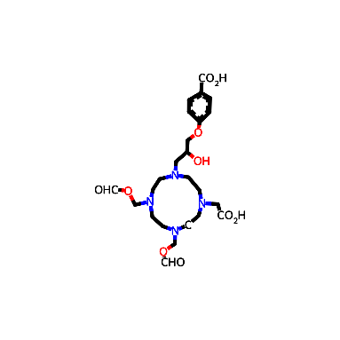 O=COCN1CCN(COC=O)CCN(CC(O)COc2ccc(C(=O)O)cc2)CCN(CC(=O)O)CC1